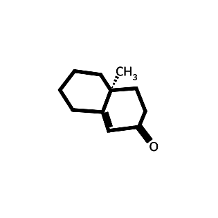 C[C@@]12CCCCC1=CC(=O)CC2